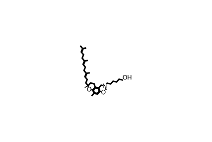 CC(C)=CCC/C(C)=C/CC/C(C)=C/CC[C@]1(C)CCc2c3c(cc(C)c2O1)OCN(CCCCCCO)C3